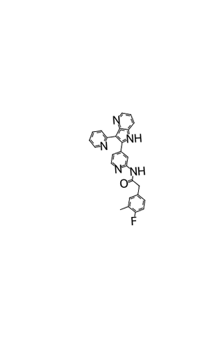 Cc1cc(CC(=O)Nc2cc(-c3[nH]c4cccnc4c3-c3ccccn3)ccn2)ccc1F